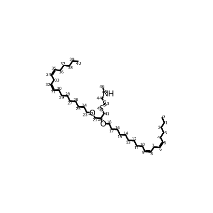 CCCCC/C=C\C/C=C\CCCCCCCCCOC(COCCCCCCCC/C=C\C/C=C\CCCCC)CSSCNC